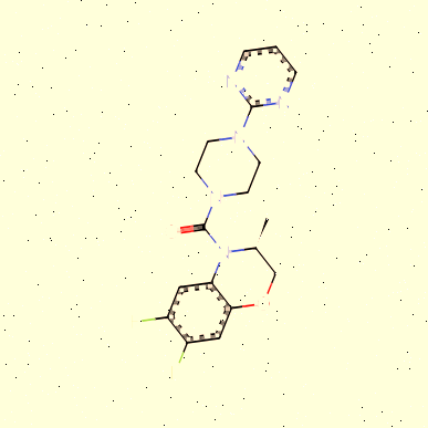 C[C@H]1COc2cc(F)c(F)cc2N1C(=O)N1CCN(c2ncccn2)CC1